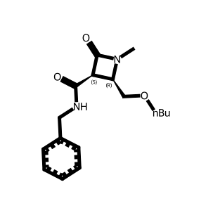 CCCCOC[C@H]1[C@@H](C(=O)NCc2ccccc2)C(=O)N1C